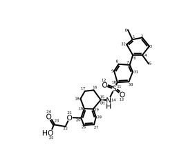 Cc1ccc(C)c(-c2ccc(S(=O)(=O)N[C@@H]3CCCc4c(OCC(=O)O)cccc43)cc2)c1